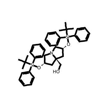 CC(C)(C)[Si](O[C@@H]1CN2C[C@H](O[Si](c3ccccc3)(c3ccccc3)C(C)(C)C)C[C@]2(CO)C1)(c1ccccc1)c1ccccc1